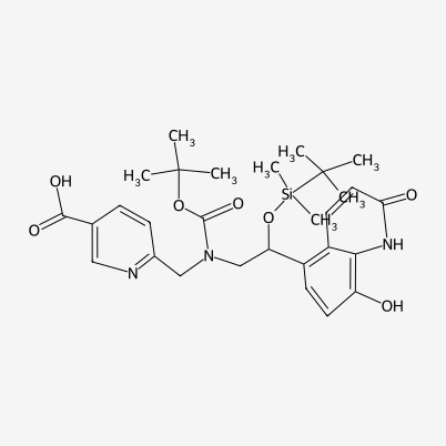 CC(C)(C)OC(=O)N(Cc1ccc(C(=O)O)cn1)CC(O[Si](C)(C)C(C)(C)C)c1ccc(O)c2[nH]c(=O)ccc12